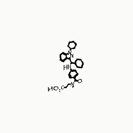 CN(CCC(=O)O)C(=O)c1ccc(NC(c2nn(C3CCCCC3)c3ccccc23)C2CCCCC2)cc1